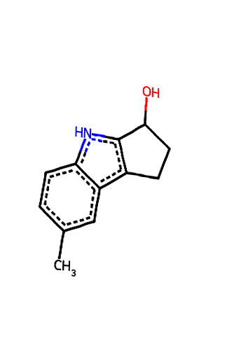 Cc1ccc2[nH]c3c(c2c1)CCC3O